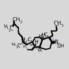 CCCC[C@@]1(C)/C(=N/O)CC[C@H]2[C@@H]3CC[C@H]([C@H](C)CCCC(C)C)[C@@]3(C)CC[C@@H]21